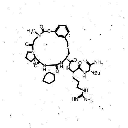 CN1CC(=O)N2CCC[C@H]2C(=O)N[C@@H](C2CCCCC2)C(=O)N[C@H](C(=O)N[C@@H](CCCNC(=N)N)C(=O)N[C@H](C(N)=O)C(C)(C)C)CSCc2cccc(c2)CC1=O